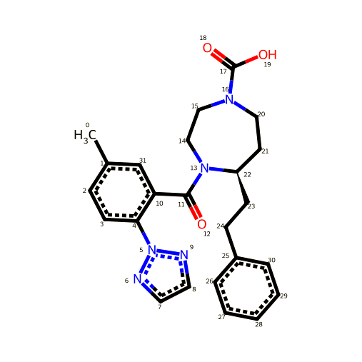 Cc1ccc(-n2nccn2)c(C(=O)N2CCN(C(=O)O)CC[C@H]2CCc2ccccc2)c1